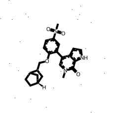 Cn1cc(-c2cc(S(C)(=O)=O)ccc2OCC2C[C@@H]3CCC2C3)c2cc[nH]c2c1=O